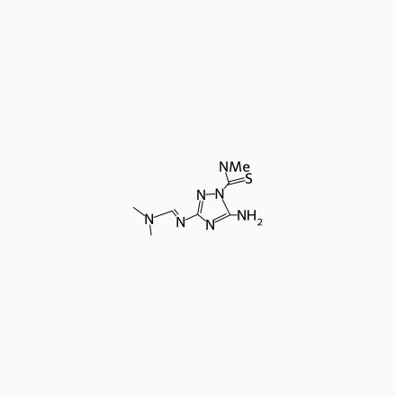 CNC(=S)n1nc(N=CN(C)C)nc1N